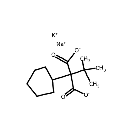 CC(C)(C)C(C(=O)[O-])(C(=O)[O-])C1CCCCC1.[K+].[Na+]